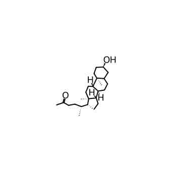 CC(=O)CC[C@@H](C)[C@H]1CC[C@H]2[C@@H]3CCC4C[C@H](O)CC[C@]4(C)[C@H]3CC[C@]12C